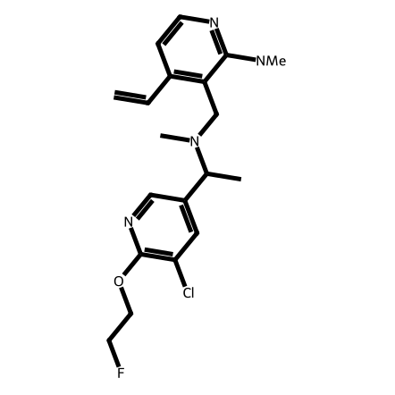 C=Cc1ccnc(NC)c1CN(C)C(C)c1cnc(OCCF)c(Cl)c1